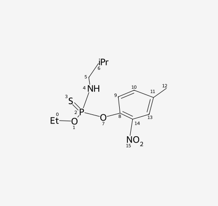 CCOP(=S)(NCC(C)C)Oc1ccc(C)cc1[N+](=O)[O-]